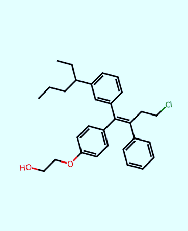 CCCC(CC)c1cccc(/C(=C(\CCCl)c2ccccc2)c2ccc(OCCO)cc2)c1